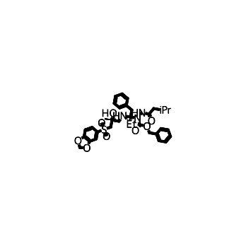 CC[C@](Cc1ccccc1)(NC[C@@](C)(O)CS(=O)(=O)c1ccc2c(c1)OCO2)N(NC(=O)CC(C)C)C(=O)OCc1ccccc1